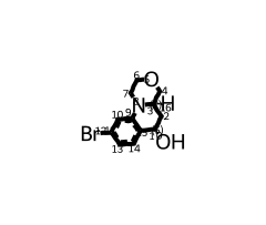 O[C@H]1C[C@@H]2COCCN2c2cc(Br)ccc21